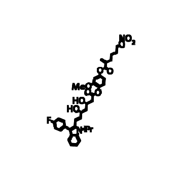 C=C(CCCCO[N+](=O)[O-])C(=O)Oc1ccc(OC(=O)C[C@@H](O)C[C@@H](O)/C=C/c2c(-c3ccc(F)cc3)c3ccccc3n2C(C)C)c(OC)c1